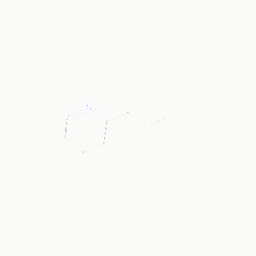 CCCCCSCC1CC=CC=N1